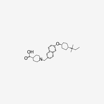 CCC(C)(C)[C@H]1CC[C@@H](Oc2ccc3cc(CN4CCC(C(=O)O)CC4)ccc3c2)CC1